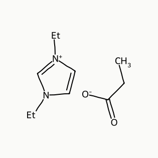 CCC(=O)[O-].CCn1cc[n+](CC)c1